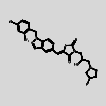 O=C1S/C(=C\c2ccc3c(cnn3Cc3ccc(Cl)cc3C(F)(F)F)c2)C(=O)N1CC(O)CN1CC[C@@H](F)C1